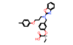 CC[C@@H](Oc1cccc(CN(CCCOc2ccc(C)cc2)c2nc3ccccc3o2)c1)C(=O)O